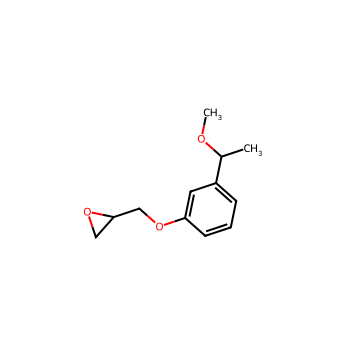 COC(C)c1cccc(OCC2CO2)c1